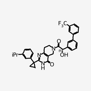 CC(C)c1cccc(C2(c3nc4c(c(=O)[nH]3)CN(C(=O)[C@H](O)c3cccc(-c5cccc(C(F)(F)F)c5)c3)CC4)CC2)c1